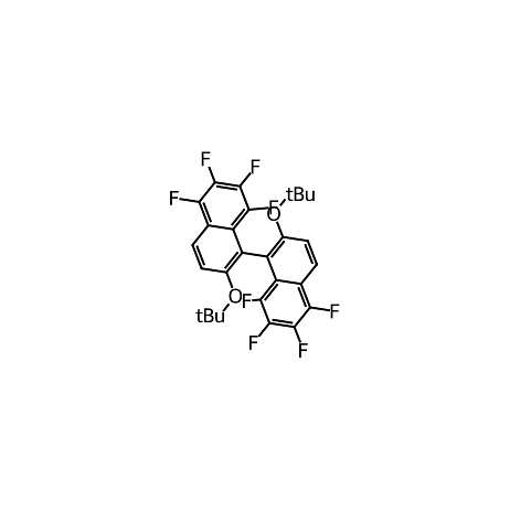 CC(C)(C)Oc1ccc2c(F)c(F)c(F)c(F)c2c1-c1c(OC(C)(C)C)ccc2c(F)c(F)c(F)c(F)c12